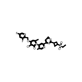 CCS(=O)(=O)C1CC(c2nccc(-c3cc(-n4c(C)cc(OCc5ncc(F)cc5F)c(Cl)c4=O)c(C)cn3)n2)C1